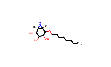 CCCCCCCCO[C@H]1[C@H](O)[C@@H](O)[C@H](O)[C@H]2N[C@H]21